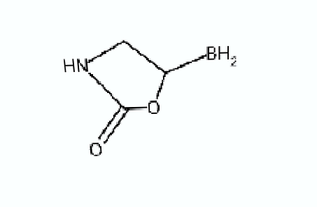 BC1CNC(=O)O1